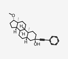 CO[C@H]1CC[C@H]2[C@@H]3CC[C@H]4C[C@@](O)(C#Cc5ccccc5)CC[C@]4(C)[C@H]3CC[C@]12C